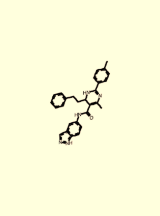 CC1=C(C(=O)Nc2ccc3[nH]ncc3c2)C(CCc2ccccc2)NC(c2ccc(C)cc2)=N1